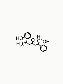 C=C(CC(=O)CC(=C)c1ccccc1O)c1ccccc1O